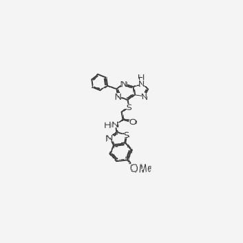 COc1ccc2nc(NC(=O)CSc3nc(-c4ccccc4)nc4[nH]cnc34)sc2c1